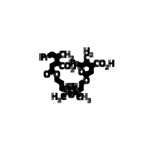 C=C(CC(C)C)C(CC(=O)OCCC[Si](C)(C)O[Si](C)(C)CCOC(=O)CC(C(=C)CC(C)C)C(=O)O)C(=O)O